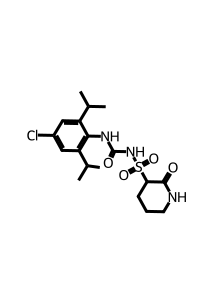 CC(C)c1cc(Cl)cc(C(C)C)c1NC(=O)NS(=O)(=O)C1CCCNC1=O